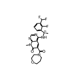 C[C@@H](Nc1ncnc2c1cc(C(=O)N1CCCOCC1)c(=O)n2C)c1cccc(C(F)F)c1F